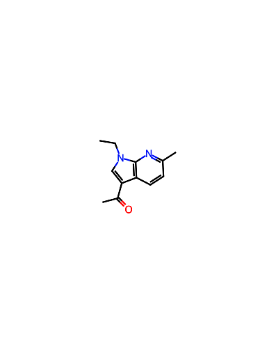 CCn1cc(C(C)=O)c2ccc(C)nc21